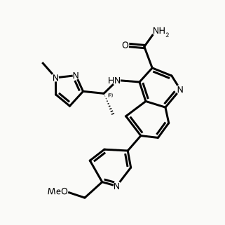 COCc1ccc(-c2ccc3ncc(C(N)=O)c(N[C@H](C)c4ccn(C)n4)c3c2)cn1